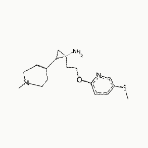 CSc1ccc(OCCC2(N)CC2C2CCN(C)CC2)nc1